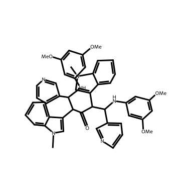 COc1cc(NC(c2cccnc2)C(C(=O)C(c2cn(C)c3ccccc23)C(Nc2cc(OC)cc(OC)c2)c2cccnc2)c2cn(C)c3ccccc23)cc(OC)c1